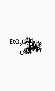 CCOC(=O)CC(C)c1ccc(N(CC(C)C)C2CCCCC2)c(Nc2ccc(Cl)cn2)c1